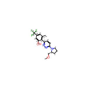 COC[C@@H]1CCCN1c1ccc(-c2c(C)cc(C(F)(F)F)cc2O)nn1